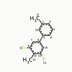 Cc1cccc(-c2cc(F)c(C)c(F)c2)c1